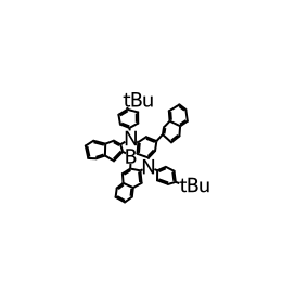 CC(C)(C)c1ccc(N2c3cc4ccccc4cc3B3c4cc5ccccc5cc4N(c4ccc(C(C)(C)C)cc4)c4cc(-c5ccc6ccccc6c5)cc2c43)cc1